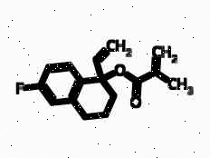 C=CC1(OC(=O)C(=C)C)CCCc2cc(F)ccc21